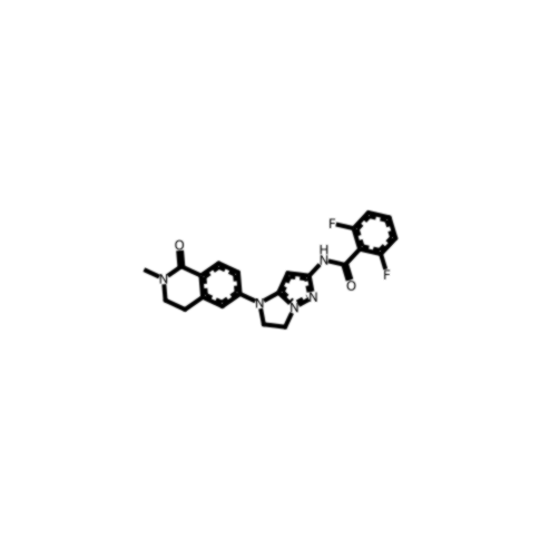 CN1CCc2cc(N3CCn4nc(NC(=O)c5c(F)cccc5F)cc43)ccc2C1=O